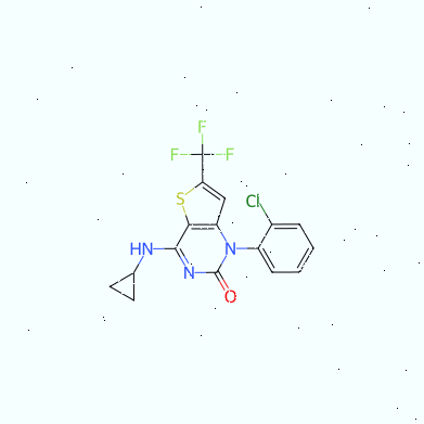 O=c1nc(NC2CC2)c2sc(C(F)(F)F)cc2n1-c1ccccc1Cl